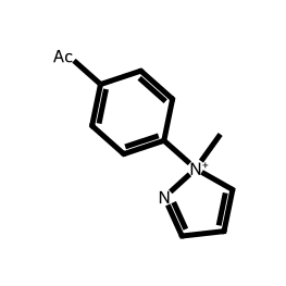 CC(=O)c1ccc([N+]2(C)C=CC=N2)cc1